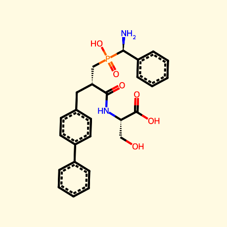 N[C@@H](c1ccccc1)P(=O)(O)C[C@@H](Cc1ccc(-c2ccccc2)cc1)C(=O)N[C@@H](CO)C(=O)O